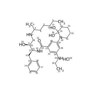 CCCCCC(C)NC[C@H](O)[C@H](Cc1ccccc1)NC(=O)c1cc(NCC)cc(N2CCCCS2(O)O)c1.Cl